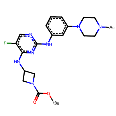 CC(=O)N1CCN(c2cccc(Nc3ncc(F)c(NC4CN(C(=O)OC(C)(C)C)C4)n3)c2)CC1